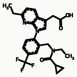 CCc1ccc2c(CC(=O)O)cn(-c3ccc(C(F)(F)F)cc3CN(CC)C(=O)C3CC3)c2n1